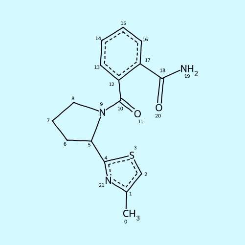 Cc1csc(C2CCCN2C(=O)c2ccccc2C(N)=O)n1